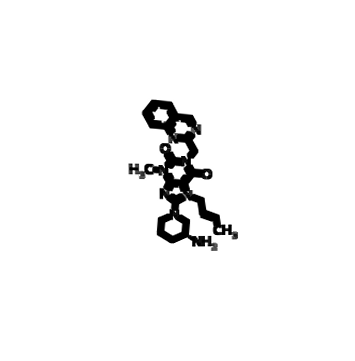 C/C=C/Cn1c(N2CCC[C@@H](N)C2)nc2c1c(=O)n(Cc1ncc3ccccc3n1)c(=O)n2C